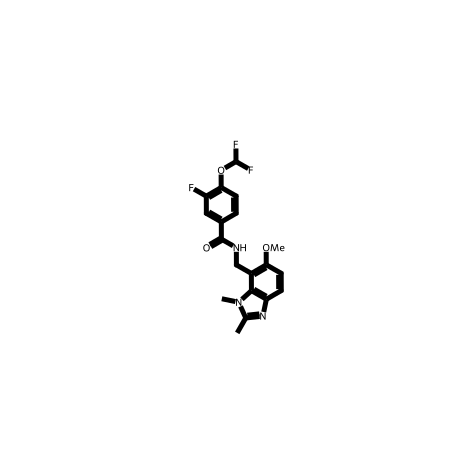 COc1ccc2nc(C)n(C)c2c1CNC(=O)c1ccc(OC(F)F)c(F)c1